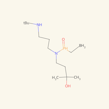 BC[PH](=O)N(CCCNC(C)(C)C)CCC(C)(C)O